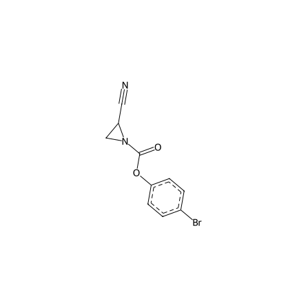 N#CC1CN1C(=O)Oc1ccc(Br)cc1